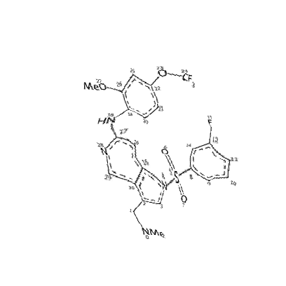 CNCc1cn(S(=O)(=O)c2cccc(F)c2)c2cc(Nc3ccc(OC(F)(F)F)cc3OC)ncc12